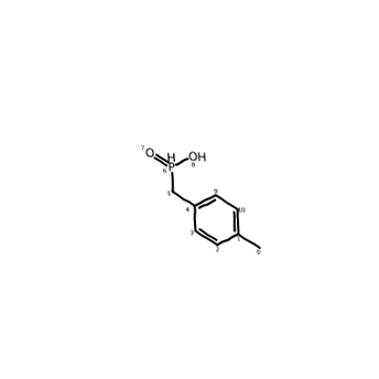 Cc1ccc(C[PH](=O)O)cc1